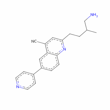 CC(CN)CCc1cc(C#N)c2cc(-c3ccncc3)ccc2n1